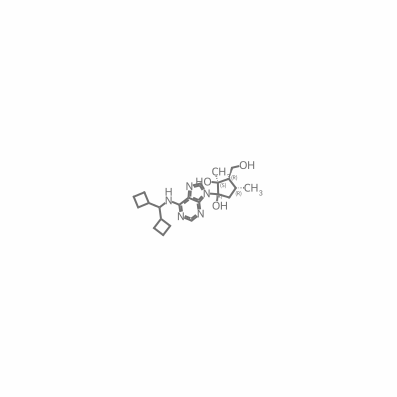 C[C@@H]1C[C@](O)(n2cnc3c(NC(C4CCC4)C4CCC4)ncnc32)[C@@](C)(O)[C@H]1CO